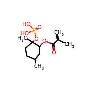 C=C(C)C(=O)OC1CC(C)CCC1(C)OP(=O)(O)O